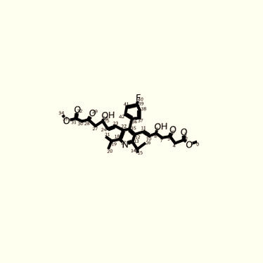 COC(=O)CC(=O)CC(O)/C=C/c1c(C(C)C)nc(C(C)C)c(/C=C/C(O)CC(=O)CC(=O)OC)c1-c1ccc(F)cc1